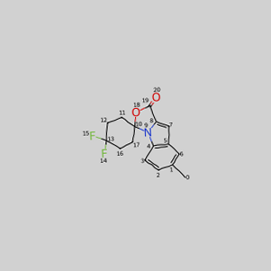 Cc1ccc2c(c1)cc1n2C2(CCC(F)(F)CC2)OC1=O